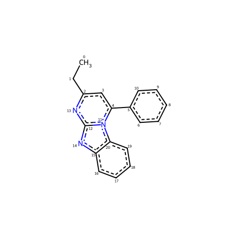 CCc1cc(-c2ccccc2)n2c(n1)nc1ccccc12